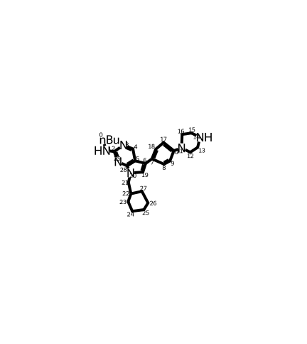 CCCCNc1ncc2c(-c3ccc(N4CCNCC4)cc3)cn(CC3CCCCC3)c2n1